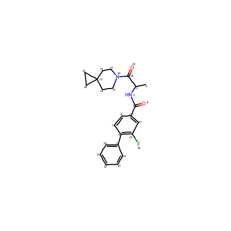 CC(NC(=O)c1ccc(-c2ccccc2)c(F)c1)C(=O)N1CCC2(CC1)CC2